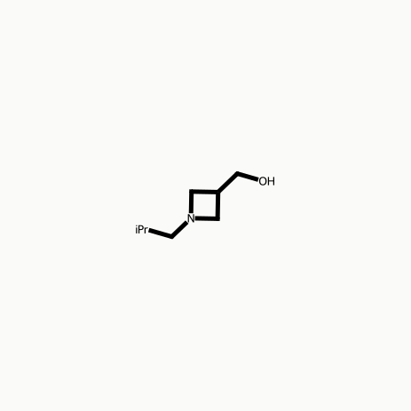 CC(C)CN1CC(CO)C1